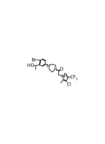 Cc1c(Cl)c(C(F)(F)F)nn1CC(=O)N1CCN(c2ccc(Br)c(C(C)O)c2)CC1